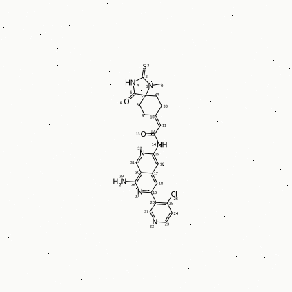 CN1C(=S)NC(=O)C12CCC(=CC(=O)Nc1cc3cc(-c4cnccc4Cl)nc(N)c3cn1)CC2